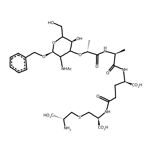 CC(=O)NC1C(O[C@H](C)C(=O)N[C@@H](C)C(=O)N[C@H](CCC(=O)N[C@H](CSC[C@H](N)C(=O)O)C(=O)O)C(=O)O)[C@H](O)C(CO)O[C@@H]1OCc1ccccc1